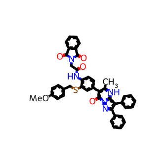 COc1ccc(CSc2cc(-c3c(C)[nH]c4c(-c5ccccc5)c(-c5ccccc5)nn4c3=O)ccc2NC(=O)CN2C(=O)c3ccccc3C2=O)cc1